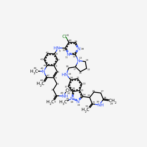 C=C(CCC1=Cc2cc(Nc3nc(N4CCCC4CNc4ccc5c(C6CCC(=C)NC6=C)nn(C)c5c4)ncc3Cl)ccc2N(C)C1=C)NC